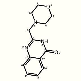 O=c1[nH]c(CN2CCOCC2)nc2ccccc12